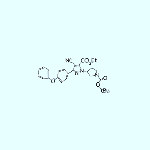 CCOC(=O)c1c(C#N)c(-c2ccc(Oc3ccccc3)cc2)nn1[C@@H]1CCN(C(=O)OC(C)(C)C)C1